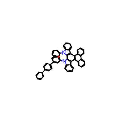 c1ccc(-c2ccc(-c3cccc(-n4c5ccccc5c5c6c7ccccc7c7ccccc7c6c6c7ccccc7n(-c7ccccc7)c6c54)c3)cc2)cc1